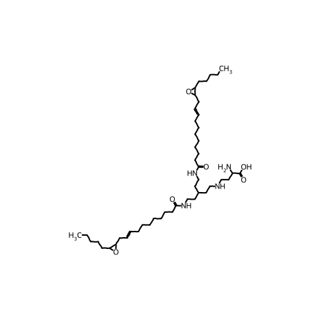 CCCCCC1OC1CC=CCCCCCCCC(=O)NCCC(CCNCCC(N)C(=O)O)CCNC(=O)CCCCCCCC=CCC1OC1CCCCC